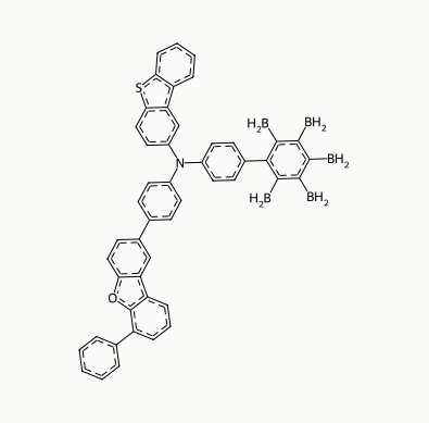 Bc1c(B)c(B)c(-c2ccc(N(c3ccc(-c4ccc5oc6c(-c7ccccc7)cccc6c5c4)cc3)c3ccc4sc5ccccc5c4c3)cc2)c(B)c1B